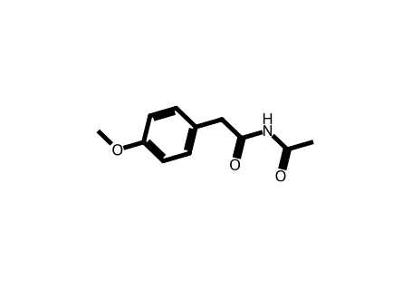 COc1ccc(CC(=O)NC(C)=O)cc1